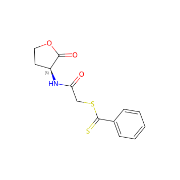 O=C(CSC(=S)c1ccccc1)N[C@H]1CCOC1=O